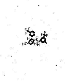 Cc1cc(NC(=O)[C@@H]2[C@@H](c3cccc(C(F)(F)F)c3)[C@H]3O[C@@H]2C[C@@H]3O)cc(C(F)(F)F)c1